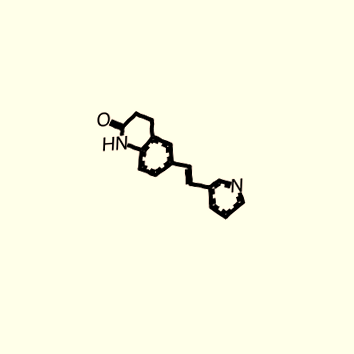 O=C1CCc2cc(C=Cc3cccnc3)ccc2N1